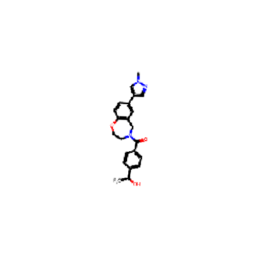 Cn1cc(-c2ccc3c(c2)CN(C(=O)c2ccc(C(O)C(F)(F)F)cc2)CCO3)cn1